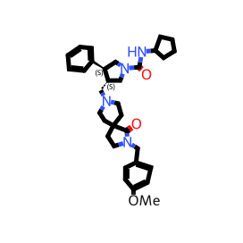 COc1ccc(CN2CCC3(CCN(C[C@H]4CN(C(=O)NC5CCCC5)C[C@@H]4c4ccccc4)CC3)C2=O)cc1